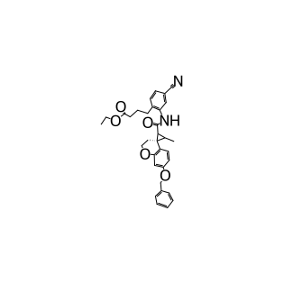 CCOC(=O)CCCc1ccc(C#N)cc1NC(=O)C1C(C)[C@]12CCOc1cc(OCc3ccccc3)ccc12